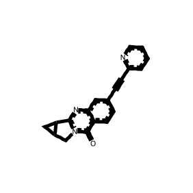 O=c1c2ccc(C#Cc3ccccn3)cc2nc2n1CC1CC21